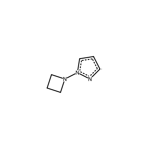 [c]1ccn(N2CCC2)n1